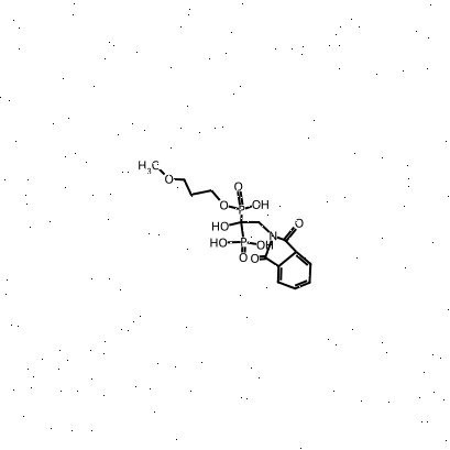 COCCCOP(=O)(O)C(O)(CN1C(=O)c2ccccc2C1=O)P(=O)(O)O